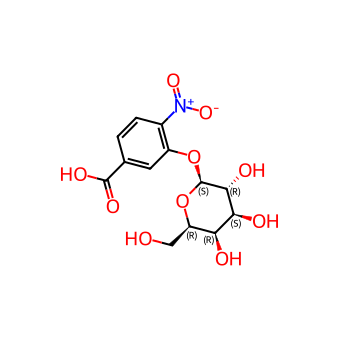 O=C(O)c1ccc([N+](=O)[O-])c(O[C@@H]2O[C@H](CO)[C@H](O)[C@H](O)[C@H]2O)c1